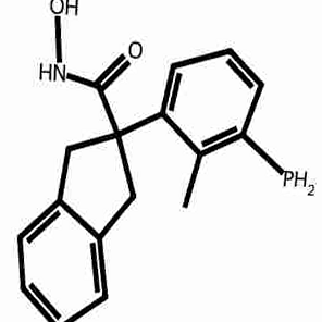 Cc1c(P)cccc1C1(C(=O)NO)Cc2ccccc2C1